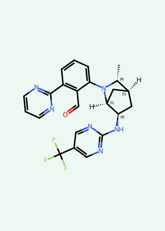 C[C@@H]1[C@H]2C[C@@H](Nc3ncc(C(F)(F)F)cn3)[C@H](C2)N1c1cccc(-c2ncccn2)c1C=O